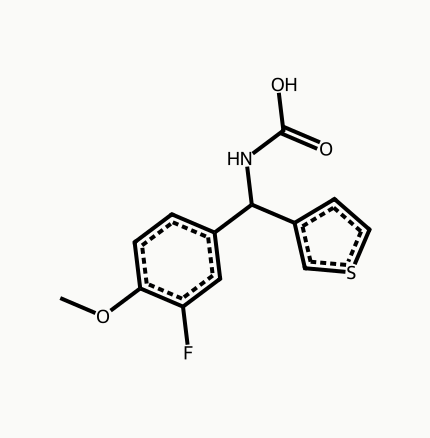 COc1ccc(C(NC(=O)O)c2ccsc2)cc1F